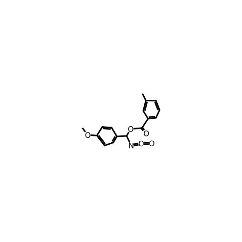 COc1ccc(C(N=C=O)OC(=O)c2cccc(C)c2)cc1